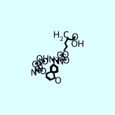 C=C(CCCOS(=O)(=O)N=[N+]=[N-])C(=O)O.O=C1C=CC(=O)c2ccccc21.[N-]=[N+]=NS(=O)(=O)O